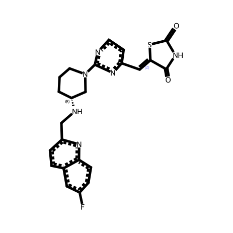 O=C1NC(=O)/C(=C/c2ccnc(N3CCC[C@@H](NCc4ccc5cc(F)ccc5n4)C3)n2)S1